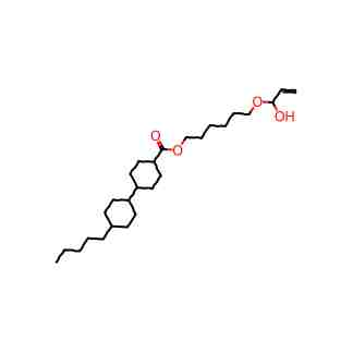 C=CC(O)OCCCCCCOC(=O)C1CCC(C2CCC(CCCCC)CC2)CC1